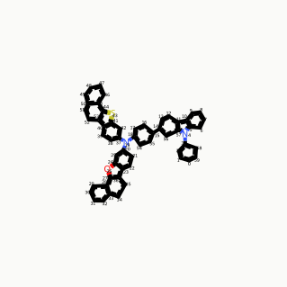 c1ccc(-n2c3ccccc3c3ccc(-c4ccc(N(c5ccc6c(c5)oc5c7ccccc7ccc65)c5ccc6c(c5)sc5c7ccccc7ccc65)cc4)cc32)cc1